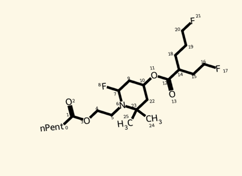 CCCCCC(=O)OCCN1C(F)CC(OC(=O)C(CCF)CCCF)CC1(C)C